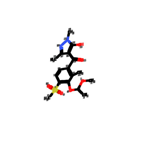 COC(C)Oc1c(S(C)(=O)=O)ccc(C(=O)c2c(C)nn(C)c2O)c1C